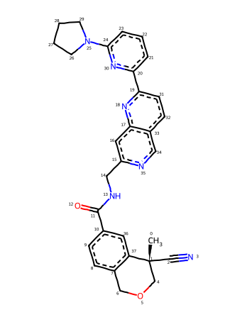 C[C@@]1(C#N)COCc2ccc(C(=O)NCc3cc4nc(-c5cccc(N6CCCC6)n5)ccc4cn3)cc21